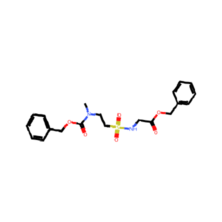 CN(CCS(=O)(=O)NCC(=O)OCc1ccccc1)C(=O)OCc1ccccc1